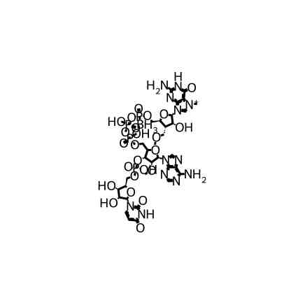 [BH3-]P(=O)(OC[C@H]1O[C@@H](n2c[n+](C)c3c(=O)[nH]c(N)nc32)[C@H](O)[C@@H]1COC)OP(=O)(O)OP(=O)(O)OCC1O[C@@H](n2cnc3c(N)ncnc32)[C@H](OC)[C@@H]1OP(=O)(O)OC[C@H]1O[C@@H](n2ccc(=O)[nH]c2=O)[C@H](O)[C@@H]1O